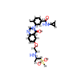 Cc1ccc(C(=O)NC2CC2)cc1-n1cnc2ccc(OCCNC(C)CS(C)(=O)=O)cc2c1=O